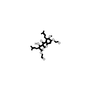 COc1c(OCC=O)cc2oc3cc(OCC=O)c(CC=C(C)C)c(O)c3c(=O)c2c1CC=C(C)C